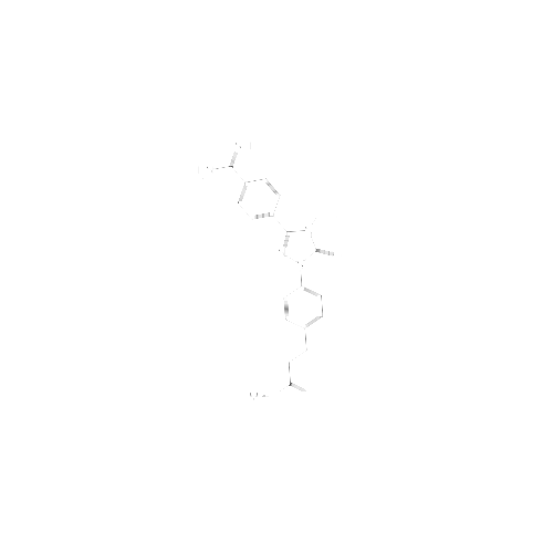 COC(=O)CCc1ccc(-n2nc(-c3ccc(C(=N)N)cc3)n(C)c2=O)cc1.Cl